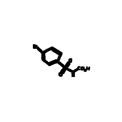 CCc1ccc(S(=O)(=O)NC(=O)O)cc1